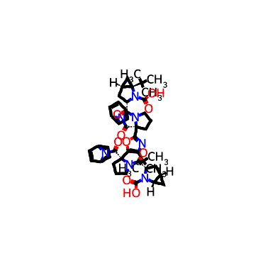 CC(C)(C)c1nc([C@]2(C(=O)n3c4ccc3cc4)CCCN2C(=O)[C@@H]2C[C@H]3C[C@]3(C(C)(C)C)N2C(=O)O)oc1[C@]1(C(=O)n2c3ccc2cc3)CCCN1C(=O)[C@@H]1C[C@@H]2C[C@@H]2N1C(=O)O